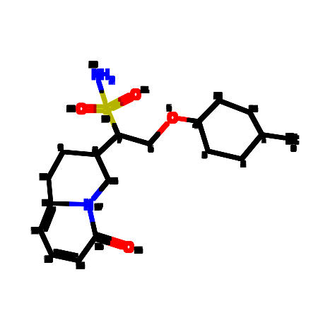 CCC1CCC(OCC(C2CCc3cccc(=O)n3C2)S(N)(=O)=O)CC1